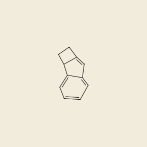 C1=C2CCC2c2ccccc21